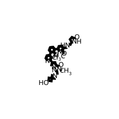 COc1nc(-c2cccc(-c3ccnc(-c4cc5c(=O)n(C)c(CN6CC7(CC(O)C7)C6)nn5c4)c3Cl)c2Cl)ccc1CNCC1CCC(=O)N1